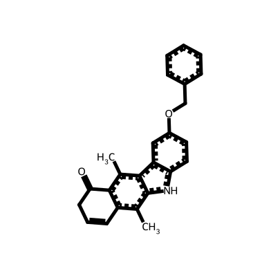 Cc1c2c(c(C)c3c1[nH]c1ccc(OCc4ccccc4)cc13)C(=O)CC=C2